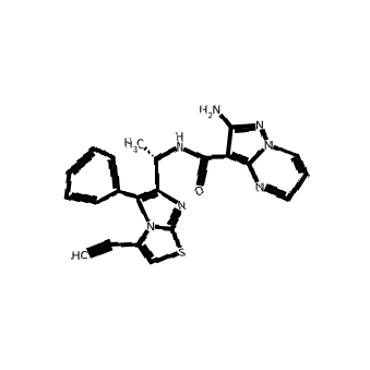 C#Cc1csc2nc([C@H](C)NC(=O)c3c(N)nn4cccnc34)c(-c3ccccc3)n12